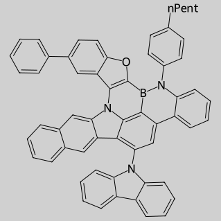 CCCCCc1ccc(N2B3c4oc5ccc(-c6ccccc6)cc5c4-n4c5cc6ccccc6cc5c5c(-n6c7ccccc7c7ccccc76)cc(c3c54)-c3ccccc32)cc1